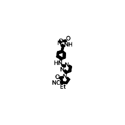 CC[C@]1(C#N)CCN(c2ccnc(Nc3ccc(-c4noc(=O)[nH]4)cc3)n2)C1=O